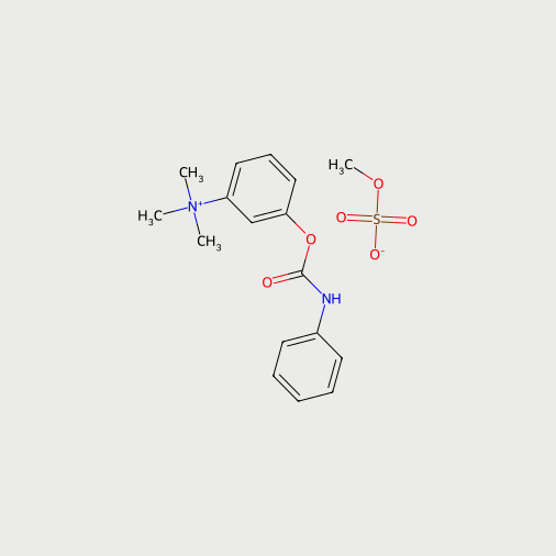 COS(=O)(=O)[O-].C[N+](C)(C)c1cccc(OC(=O)Nc2ccccc2)c1